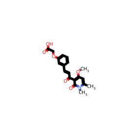 COc1cc(C)n(C)c(=O)c1C(=O)/C=C/c1cccc(OCC(=O)O)c1